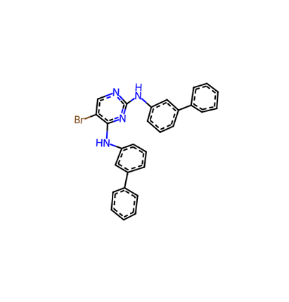 Brc1cnc(Nc2cccc(-c3ccccc3)c2)nc1Nc1cccc(-c2ccccc2)c1